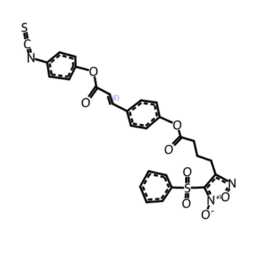 O=C(/C=C/c1ccc(OC(=O)CCCc2no[n+]([O-])c2S(=O)(=O)c2ccccc2)cc1)Oc1ccc(N=C=S)cc1